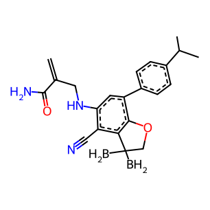 BC1(B)COc2c(-c3ccc(C(C)C)cc3)cc(NCC(=C)C(N)=O)c(C#N)c21